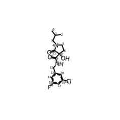 CC(C)CN1CC[C@](O)(C(=O)NCc2cc(F)cc(Cl)c2)C1=O